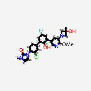 COc1ncc(-c2cc(F)cc(-c3ccc(-n4c#cn(C)c4=O)c(Cl)c3)c2O)cc1N1CC(C)(O)C1